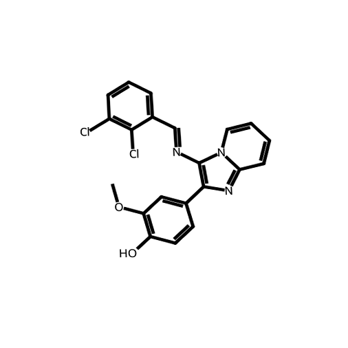 COc1cc(-c2nc3ccccn3c2N=Cc2cccc(Cl)c2Cl)ccc1O